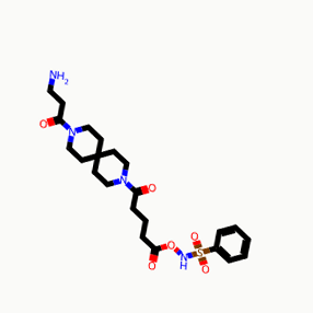 NCCC(=O)N1CCC2(CC1)CCN(C(=O)CCCC(=O)ONS(=O)(=O)c1ccccc1)CC2